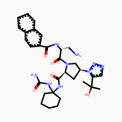 CC(C)(O)c1cnnn1[C@H]1C[C@@H](C(=O)NC2(NC(N)=O)CCCCC2)N(C(=O)[C@@H](CN)NC(=O)c2ccc3ccccc3c2)C1